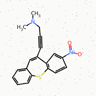 CN(C)CC#CC1=Cc2ccccc2Sc2ccc([N+](=O)[O-])cc21